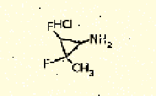 CC1(F)C(N)C1F.Cl